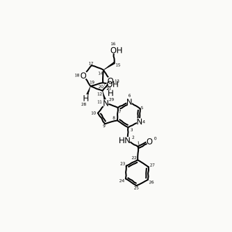 O=C(Nc1ncnc2c1ccn2[C@@H]1O[C@@]2(CO)CO[C@@H]1[C@@H]2O)c1ccccc1